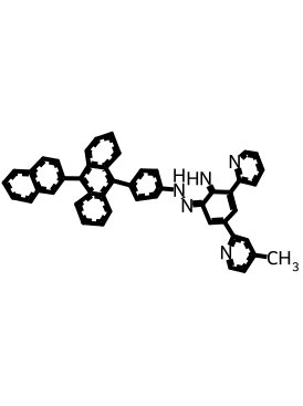 Cc1ccnc(C2=C/C(=N/Nc3ccc(-c4c5ccccc5c(-c5ccc6ccccc6c5)c5ccccc45)cc3)C(=N)C(c3ccccn3)=C2)c1